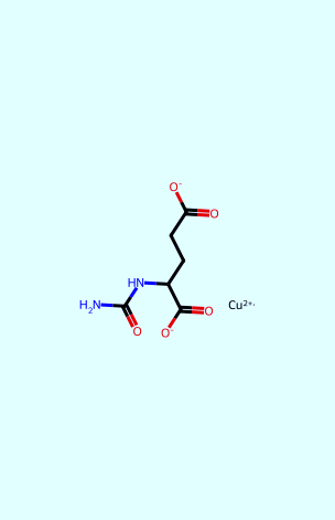 NC(=O)NC(CCC(=O)[O-])C(=O)[O-].[Cu+2]